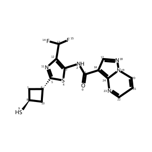 O=C(Nc1sc([C@H]2C[C@H](S)C2)nc1C(F)F)c1cnn2cccnc12